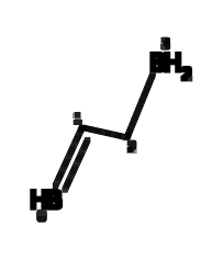 B=CCB